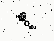 CCCCc1ccc(C(C)(C)S(=O)(=O)NCCC)cc1